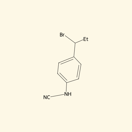 CCC(Br)c1ccc(NC#N)cc1